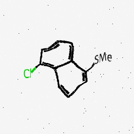 CSc1cccc2c(Cl)cccc12